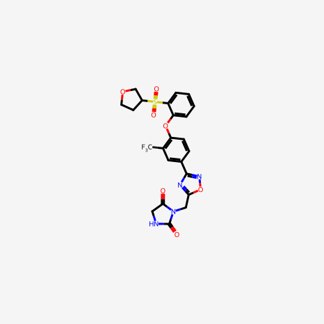 O=C1CNC(=O)N1Cc1nc(-c2ccc(Oc3ccccc3S(=O)(=O)C3CCOC3)c(C(F)(F)F)c2)no1